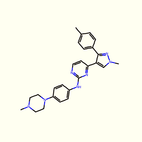 Cc1ccc(-c2nn(C)cc2-c2ccnc(Nc3ccc(N4CCN(C)CC4)cc3)n2)cc1